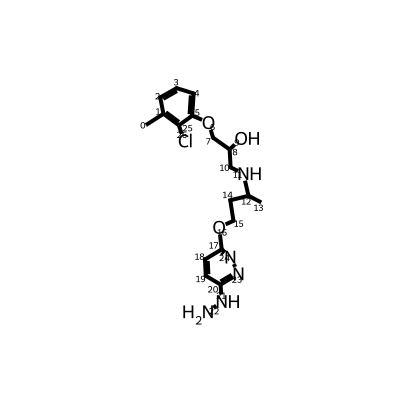 Cc1cccc(OCC(O)CNC(C)CCOc2ccc(NN)nn2)c1Cl